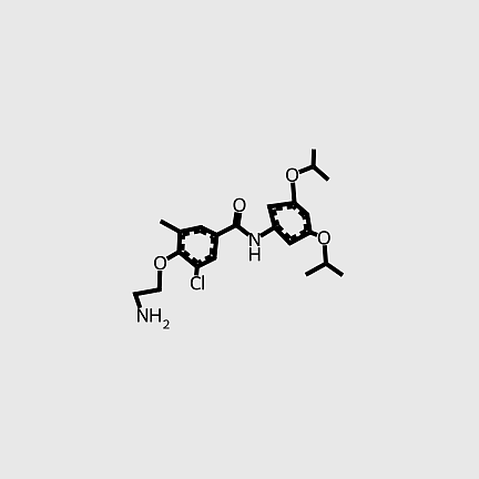 Cc1cc(C(=O)Nc2cc(OC(C)C)cc(OC(C)C)c2)cc(Cl)c1OCCN